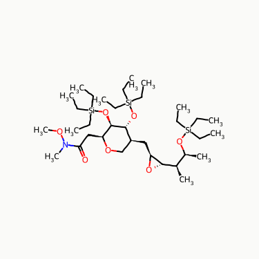 CC[Si](CC)(CC)O[C@@H]1[C@@H](C[C@@H]2O[C@H]2[C@H](C)[C@H](C)O[Si](CC)(CC)CC)CO[C@@H](CC(=O)N(C)OC)[C@H]1O[Si](CC)(CC)CC